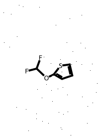 FC(F)Oc1cc[c]s1